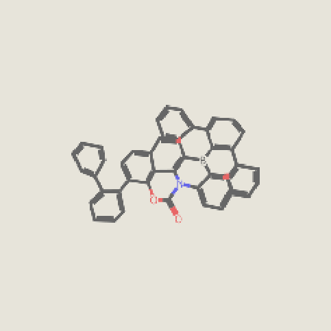 O=C1Oc2c(-c3ccccc3-c3ccccc3)ccc3ccc4c(c23)N1c1ccccc1B4c1c(-c2ccccc2)cccc1-c1ccccc1